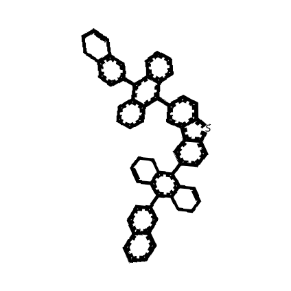 C1=Cc2cc(-c3c4ccccc4c(-c4ccc5sc6ccc(-c7c8c(c(-c9ccc%10ccccc%10c9)c9c7CCC=C9)CCC=C8)cc6c5c4)c4ccccc34)ccc2CC1